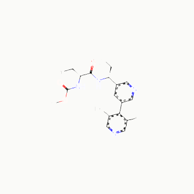 CCOC(=O)C[C@H](NC(=O)[C@H](CC(C)C)NC(=O)OC(C)(C)C)c1cncc(-c2c(C)cncc2C)c1